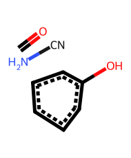 C=O.N#CN.Oc1ccccc1